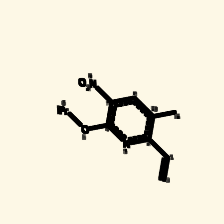 C=Cc1nc(OC(C)C)c([N+](=O)[O-])cc1C